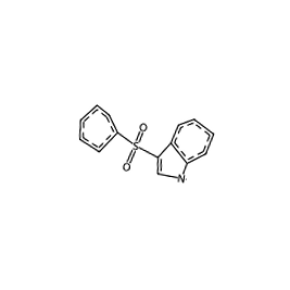 O=S(=O)(C1=C[N]c2ccccc21)c1ccccc1